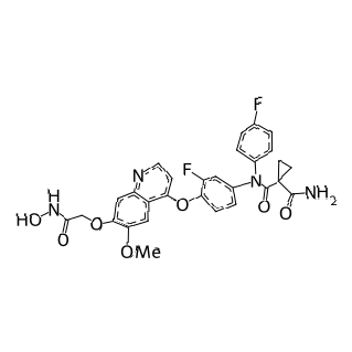 COc1cc2c(Oc3ccc(N(C(=O)C4(C(N)=O)CC4)c4ccc(F)cc4)cc3F)ccnc2cc1OCC(=O)NO